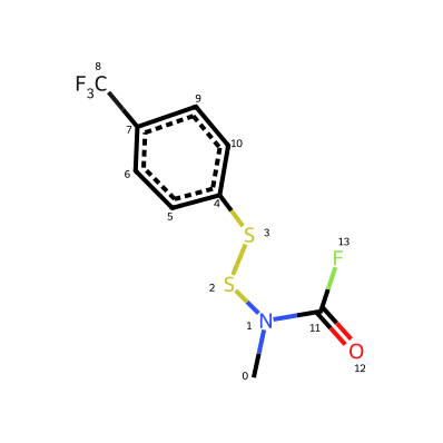 CN(SSc1ccc(C(F)(F)F)cc1)C(=O)F